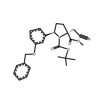 COC(=O)[C@]1(CC#N)CC[C@H](c2cccc(OCc3ccccc3)c2)N1C(=O)OC(C)(C)C